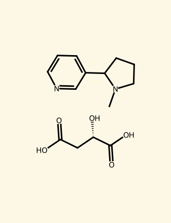 CN1CCCC1c1cccnc1.O=C(O)C[C@H](O)C(=O)O